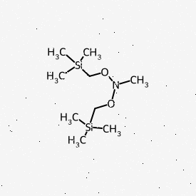 CN(OC[Si](C)(C)C)OC[Si](C)(C)C